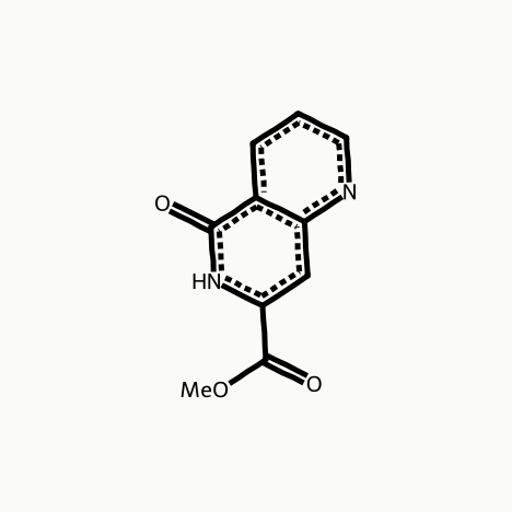 COC(=O)c1cc2ncccc2c(=O)[nH]1